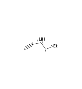 C#CCCCC.[LiH]